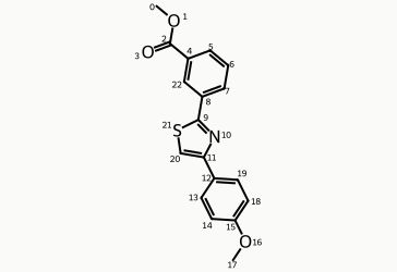 COC(=O)c1cccc(-c2nc(-c3ccc(OC)cc3)cs2)c1